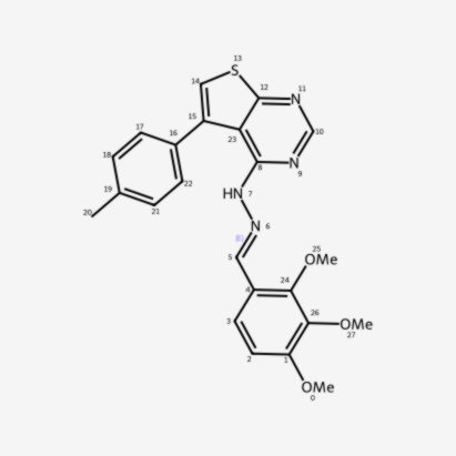 COc1ccc(/C=N/Nc2ncnc3scc(-c4ccc(C)cc4)c23)c(OC)c1OC